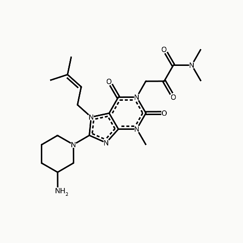 CC(C)=CCn1c(N2CCCC(N)C2)nc2c1c(=O)n(CC(=O)C(=O)N(C)C)c(=O)n2C